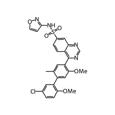 COc1ccc(Cl)cc1-c1cc(OC)c(-c2ncnc3cc(S(=O)(=O)Nc4ccon4)ccc23)cc1C